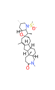 CC1=C2C[C@H]3[C@@H](CC[C@@H]4CN(C)C(=O)CC[C@@]43C)[C@@H]2CC[C@@]2(C1)O[C@@H]1C[C@H](C)CN([S+](C)[O-])C1[C@H]2C